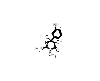 C[C@H]1C(=O)N(C)C(N)=N[C@]1(C)c1cccc(N)c1